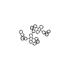 c1ccc2cc3c(cc2c1)oc1ccc(-c2c4ccccc4c(-c4cccc5oc6ccccc6c45)c4cc(-c5ccc6c(c5)oc5cccc(-c7c8ccccc8c(-c8ccc9oc%10ccccc%10c9c8)c8ccccc78)c56)ccc24)cc13